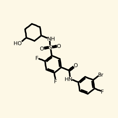 O=C(Nc1ccc(F)c(Br)c1)c1cc(S(=O)(=O)NC2CCCC(O)C2)c(F)cc1F